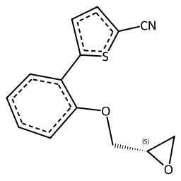 N#Cc1ccc(-c2ccccc2OC[C@@H]2CO2)s1